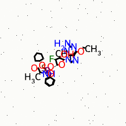 CCOc1nc(N)nc2c1ncn2[C@@H]1O[C@H](COP(=S)(N[C@@H](C)C(=O)OC2CCCCC2)Oc2ccccc2)[C@@H](F)[C@@]1(C)O